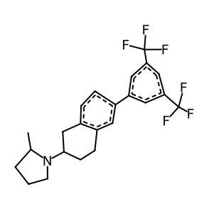 CC1CCCN1C1CCc2cc(-c3cc(C(F)(F)F)cc(C(F)(F)F)c3)ccc2C1